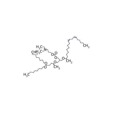 C=C(CCCCCCC/C=C\C/C=C\CCCCC)OCC(COC(=C)CCC(OCCCCCCCC)OCCCCCCCC)COC(=O)OCCCN(CC)CC